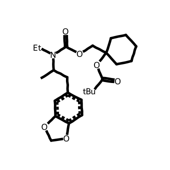 CCN(C(=O)OCC1(OC(=O)C(C)(C)C)CCCCC1)C(C)Cc1ccc2c(c1)OCO2